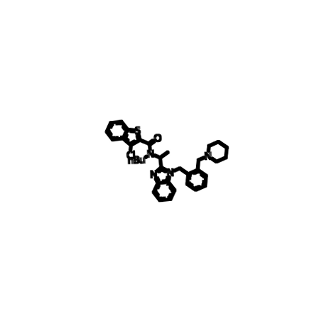 CCCCN(C(=O)c1sc2ccccc2c1Cl)C(C)c1nc2ccccc2n1Cc1ccccc1CN1CCCCC1